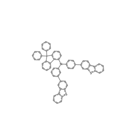 c1ccc(C2(c3ccccc3)c3ccccc3-c3c(N(c4ccc(-c5ccc6c(c5)sc5ccccc56)cc4)c4cccc(-c5ccc6sc7ccccc7c6c5)c4)cccc32)cc1